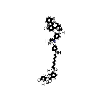 N=N/C(=C\NC1CCC(NCCCCCCCC(=O)Nc2cccc3c2CN(C2CCC(=O)NC2=O)C3=O)CC1)c1ccc(Nc2ncc3c(n2)-c2ccc(Cl)cc2C(c2c(F)cccc2F)=NC3)cc1